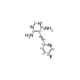 Nc1ncnc(N)c1C#Cc1ccc(F)cn1